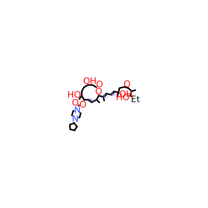 CCC(O)C(C)C1OC1CC(C)(O)/C=C/C=C(\C)C1OC(=O)CC(O)CCC(C)(O)C(OC(=O)N2CCN(C3CCCC3)CC2)/C=C/C1C